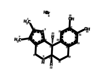 Br.Cc1sc2c(c1C)CN[C@H]1CCc3cc(O)c(O)cc3[C@H]21